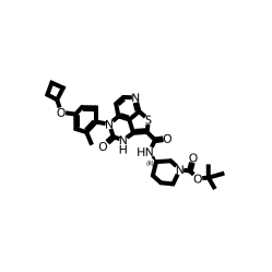 Cc1cc(OC2CCC2)ccc1N1C(=O)Nc2c(C(=O)N[C@@H]3CCCN(C(=O)OC(C)(C)C)C3)sc3nccc1c23